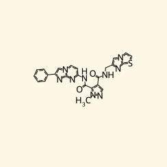 Cn1ncc(C(=O)NCc2cn3ccsc3n2)c1C(=O)Nc1ccn2cc(-c3ccccc3)nc2n1